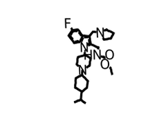 CCOC(=O)NCc1c(CN2CCCC2)c2cc(F)ccc2n1C1CCN(C2CCC(C(C)C)CC2)CC1